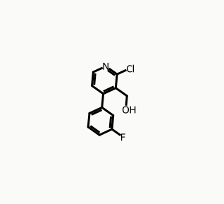 OCc1c(-c2cccc(F)c2)ccnc1Cl